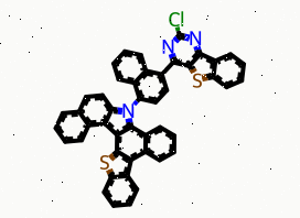 Clc1nc(-c2ccc(-n3c4ccc5ccccc5c4c4c5sc6ccccc6c5c5ccccc5c43)c3ccccc23)c2sc3ccccc3c2n1